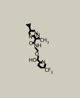 Cc1nn2cc(C3CC3)cnc2c1C(=O)NCCOC[C@H](O)c1ccc(C(F)(F)F)cn1